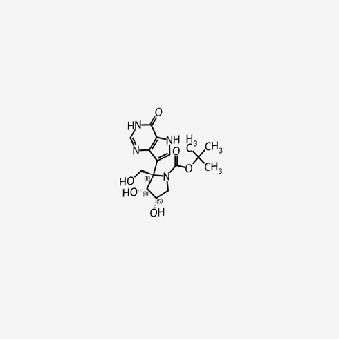 CC(C)(C)OC(=O)N1C[C@H](O)[C@H](O)[C@]1(CO)c1c[nH]c2c(=O)[nH]cnc12